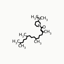 C/C(=C\C(=O)N1CCCC(N(C)C)C1)CCCC(C)CCCC(C)CCCC(C)C